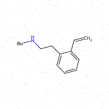 C=Cc1ccccc1CCNC(C)CC